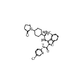 O=C(Nc1ccc(Cl)cn1)c1oc2cccc(C(=O)O)c2c1NC(=O)C1CCC(N2CCCC2=O)CC1